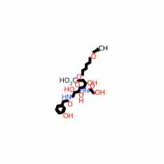 C#CCOCCCCCCO[C@]1(C(=O)O)C[C@H](O)[C@@H](NC(=O)CO)[C@H]([C@H](O)[C@H](O)CNC(=O)Cc2cccc(O)c2)O1